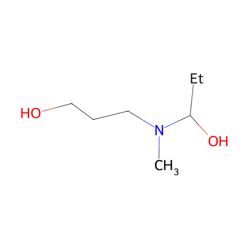 CCC(O)N(C)CCCO